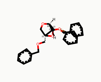 c1ccc(COC[C@@]23CO[C@@H]([C@H](Sc4ccccc4)O2)[C@@H]3OCc2ccccc2)cc1